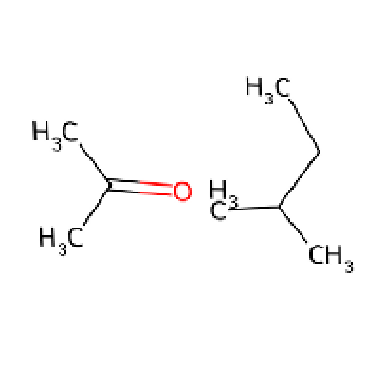 CC(C)=O.CCC(C)C